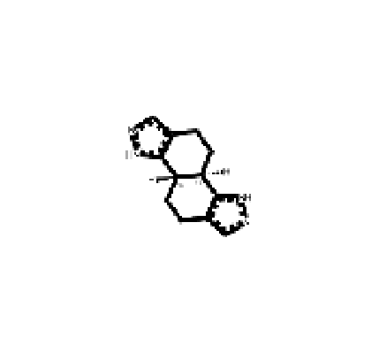 c1n[nH]c2c1CC[C@H]1c3[nH]ncc3CC[C@H]21